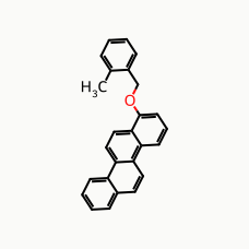 Cc1ccccc1COc1cccc2c1ccc1c3ccccc3ccc21